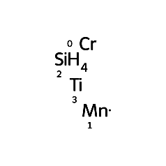 [Cr].[Mn].[SiH4].[Ti]